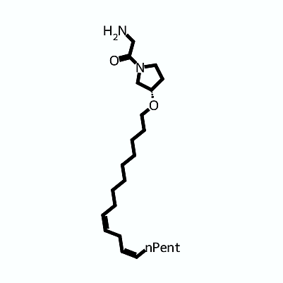 CCCCC/C=C\C/C=C\CCCCCCCCO[C@H]1CCN(C(=O)CN)C1